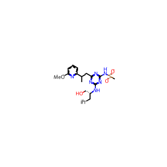 COc1cccc(C(C)Cc2nc(N[C@@H](CO)CC(C)C)nc(NS(C)(=O)=O)n2)n1